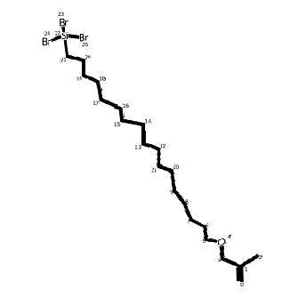 C=C(C)COCCCCCCCCCCCCCCCCC[Si](Br)(Br)Br